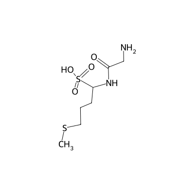 CSCCCC(NC(=O)CN)S(=O)(=O)O